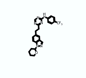 FC(F)(F)c1ccc(Nc2ncnc(CCc3ccc4c(cnn4C4CCCCO4)c3)n2)cc1